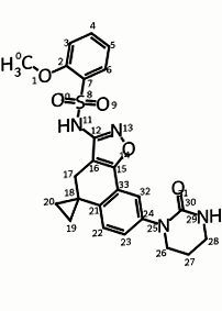 COc1ccccc1S(=O)(=O)Nc1noc2c1CC1(CC1)c1ccc(N3CCCNC3=O)cc1-2